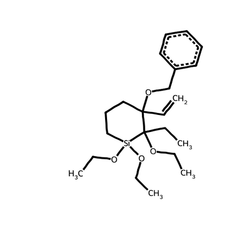 C=CC1(OCc2ccccc2)CCC[Si](OCC)(OCC)C1(CC)OCC